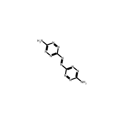 Nc1nnc(N=Nc2nnc(N)nn2)nn1